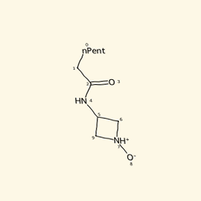 CCCCCCC(=O)NC1C[NH+]([O-])C1